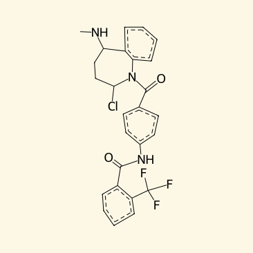 CNC1CCC(Cl)N(C(=O)c2ccc(NC(=O)c3ccccc3C(F)(F)F)cc2)c2ccccc21